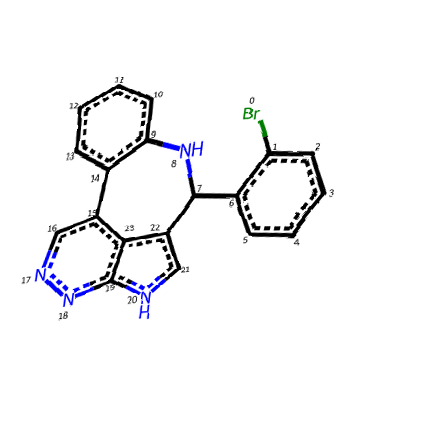 Brc1ccccc1C1Nc2ccccc2-c2cnnc3[nH]cc1c23